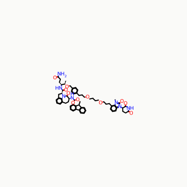 C[C@@H](OCc1ccc(CCCOCCCCOCCCc2cccc3c2n(C)c(=O)n3C2CCC(=O)NC2=O)cc1)[C@H](CCC(N)=O)NC(=O)[C@@H]1Cc2cccc3c2N1C(=O)[C@@H](NC(=O)OCC1c2ccccc2-c2ccccc21)CC3